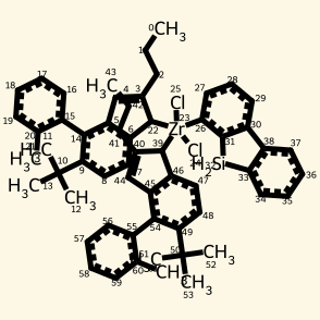 CCCC1=Cc2c(ccc(C(C)(C)C)c2-c2ccccc2C)[CH]1[Zr]([Cl])([Cl])([c]1cccc2c1[SiH2]c1ccccc1-2)[CH]1C(CCC)=Cc2c1ccc(C(C)(C)C)c2-c1ccccc1C